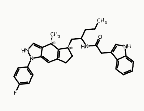 CCCC(C[C@H]1CCC2=C1[C@@H](C)C1=CNN(c3ccc(F)cc3)C1=C2)NC(=O)Cc1c[nH]c2ccccc12